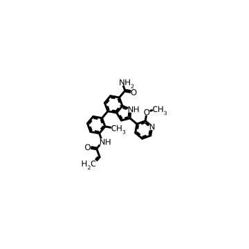 C=CC(=O)Nc1cccc(-c2ccc(C(N)=O)c3[nH]c(-c4cccnc4OC)cc23)c1C